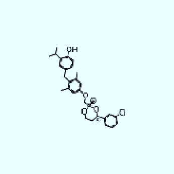 Cc1cc(OC[P@]2(=O)OCC[C@H](c3cccc(Cl)c3)O2)cc(C)c1Cc1ccc(O)c(C(C)C)c1